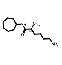 NCCCC[C@H](N)C(=O)NC1CCCCCC1